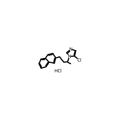 CC(CCc1ccc2ccccc2c1)n1cncc1Cl.Cl